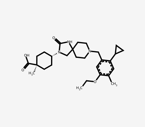 CCOc1cc(CN2CCC3(CC2)CN([C@H]2CC[C@](C)(C(=O)O)CC2)C(=O)N3)c(C2CC2)cc1C